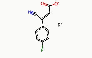 N#CC(=CC(=O)[O-])c1ccc(F)cc1.[K+]